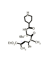 CCOC(=O)/C(C)=C/C(C(C)C)N(C)C(=O)[C@@H](NC(=O)C1CCNCC1)C(C)(C)C